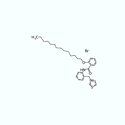 CCCCCCCCCCCCCCOc1ccccc1C(=O)Nc1ccccc1C[n+]1ccsc1.[Br-]